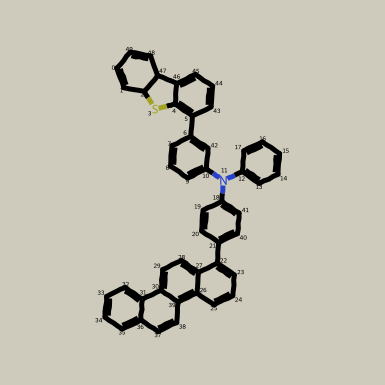 C1=CC2Sc3c(-c4cccc(N(c5ccccc5)c5ccc(-c6cccc7c6ccc6c8ccccc8ccc76)cc5)c4)cccc3C2C=C1